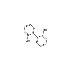 Oc1ccccc1-c1cccc[n+]1O